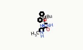 C[C@@H]1Cc2nn3c(c2CN1)C(=O)NC[C@H]3CO[Si](c1ccccc1)(c1ccccc1)C(C)(C)C